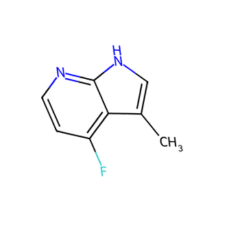 Cc1c[nH]c2nccc(F)c12